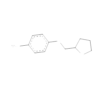 CSc1ccc(OCC2CCCO2)cc1